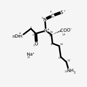 CCCCCCCCCCCC(=O)N(N=C=S)[C@@H](CCCCN)C(=O)[O-].[Na+]